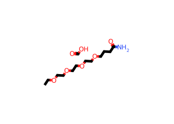 CCOCCOCCOCCOCCCC(N)=O.O=CO